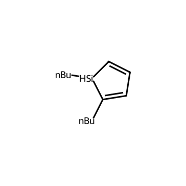 CCCCC1=CC=C[SiH]1CCCC